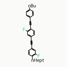 CCCCCCCc1ccc(C#Cc2ccc(C#Cc3ccc(CCCC)cc3)c(F)c2)cc1F